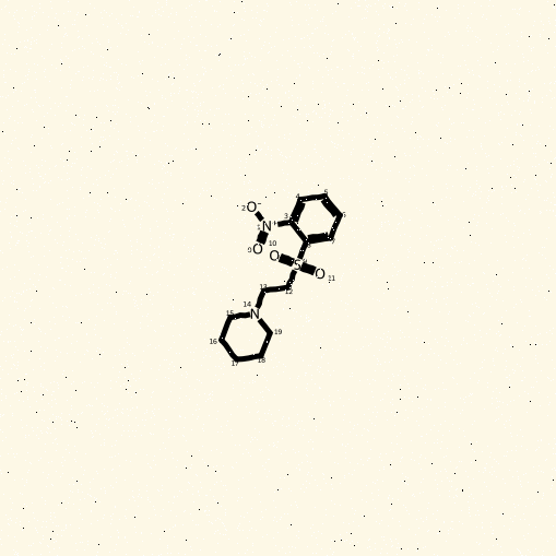 O=[N+]([O-])c1ccccc1S(=O)(=O)CCN1CCCCC1